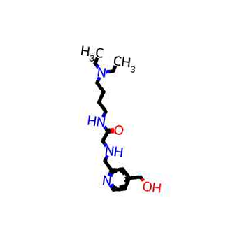 CCN(CC)CCCCNC(=O)CNCc1cc(CO)ccn1